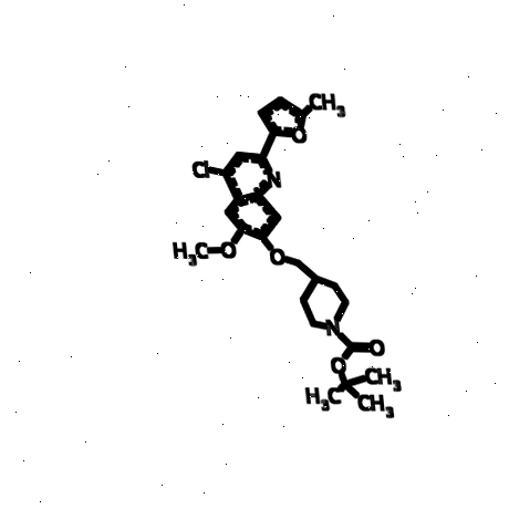 COc1cc2c(Cl)cc(-c3ccc(C)o3)nc2cc1OCC1CCN(C(=O)OC(C)(C)C)CC1